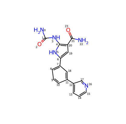 NC(=O)Nc1[nH]c(-c2cccc(-c3cccnc3)c2)cc1C(N)=O